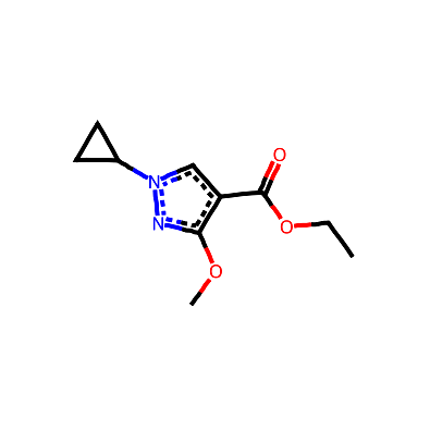 CCOC(=O)c1cn(C2CC2)nc1OC